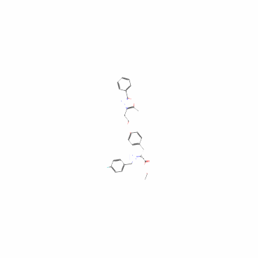 CCOC(=O)[C@H](Cc1ccc(OCCc2nc(-c3ccccc3)oc2C)cc1)NCc1ccc(F)cc1